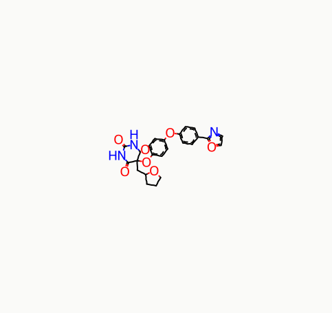 O=C1NC(=O)C(CC2CCCO2)(Oc2ccc(Oc3ccc(-c4ncco4)cc3)cc2)C(=O)N1